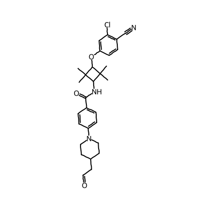 CC1(C)C(NC(=O)c2ccc(N3CCC(CC=O)CC3)cc2)C(C)(C)C1Oc1ccc(C#N)c(Cl)c1